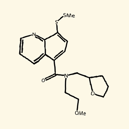 COCCN(CC1CCCO1)C(=O)c1ccc(SSC)c2ncccc12